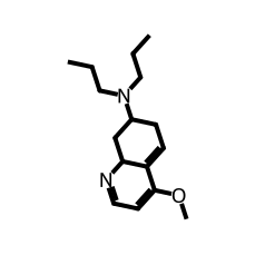 CCCN(CCC)C1CC=C2C(OC)=CC=NC2C1